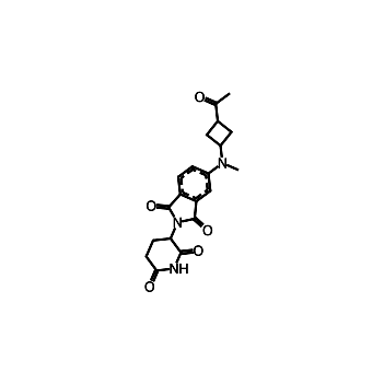 CC(=O)C1CC(N(C)c2ccc3c(c2)C(=O)N(C2CCC(=O)NC2=O)C3=O)C1